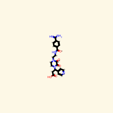 N=C(N)c1ccc(C(=O)NCCN2CCN(C(CC(=O)O)c3ccncc3)C(=O)C2=O)cc1